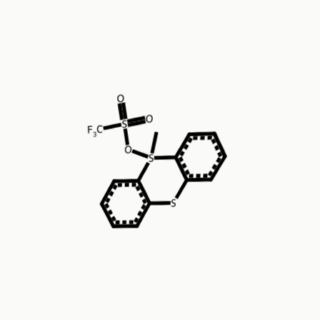 CS1(OS(=O)(=O)C(F)(F)F)c2ccccc2Sc2ccccc21